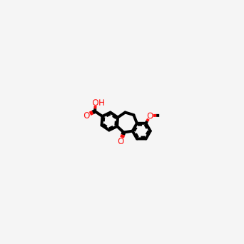 COc1cccc2c1CCc1cc(C(=O)O)ccc1C2=O